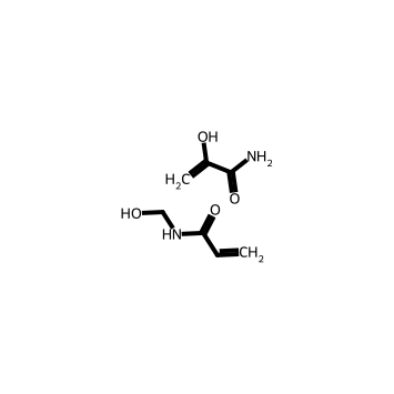 C=C(O)C(N)=O.C=CC(=O)NCO